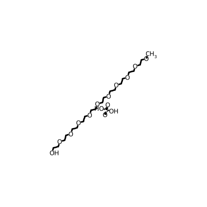 COCCOCCOCCOCCOCCOCCOCCOCCOCCOCCO.O=S(=O)(O)O